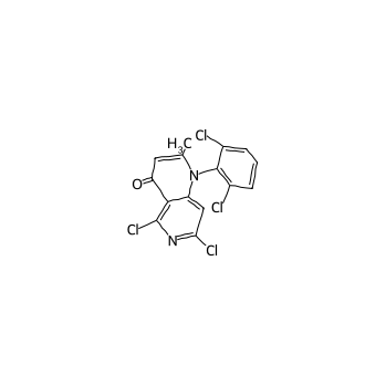 Cc1cc(=O)c2c(Cl)nc(Cl)cc2n1-c1c(Cl)cccc1Cl